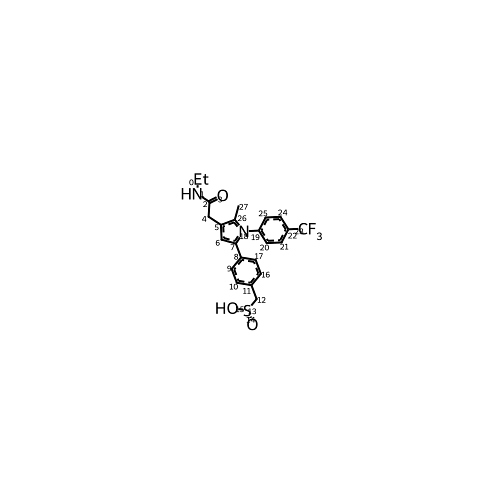 CCNC(=O)Cc1cc(-c2ccc(CS(=O)O)cc2)n(-c2ccc(C(F)(F)F)cc2)c1C